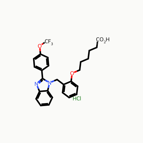 Cl.O=C(O)CCCCCOc1ccccc1Cn1c(-c2ccc(OC(F)(F)F)cc2)nc2ccccc21